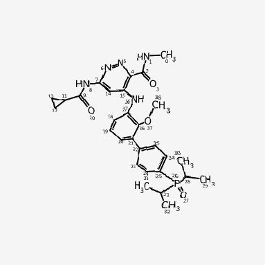 CNC(=O)c1nnc(NC(=O)C2CC2)cc1Nc1cccc(-c2ccc(P(=O)(C(C)C)C(C)C)cc2)c1OC